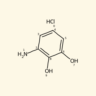 Cl.Nc1cccc(O)c1O